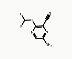 N#Cc1nc(N)cnc1OC(F)F